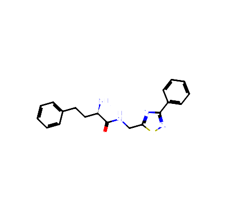 N[C@H](CCc1ccccc1)C(=O)NCc1nc(-c2ccccc2)ns1